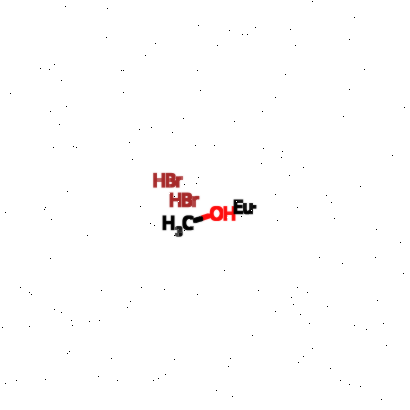 Br.Br.CO.[Eu]